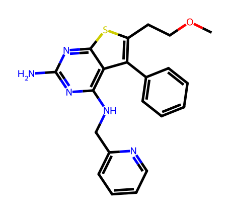 COCCc1sc2nc(N)nc(NCc3ccccn3)c2c1-c1ccccc1